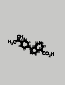 CN(C)c1ccc(-n2ncc3c(C(=O)O)cncc32)cc1